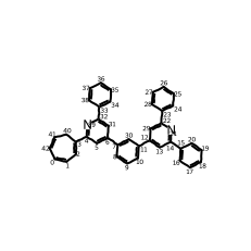 C1=CC=C(c2cc(-c3cccc(-c4cc(-c5ccccc5)nc(-c5ccccc5)c4)c3)cc(-c3ccccc3)n2)CC=C1